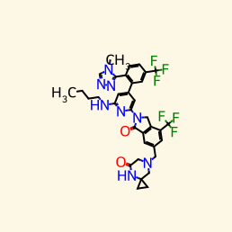 CCCCNc1cc(-c2cc(C(F)(F)F)ccc2-c2nncn2C)cc(N2Cc3c(cc(CN4CC(=O)NC5(CC5)C4)cc3C(F)(F)F)C2=O)n1